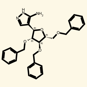 Nc1[nH]ncc1[C@H]1O[C@H](COCc2ccccc2)[C@@H](OCc2ccccc2)[C@@H]1OCc1ccccc1